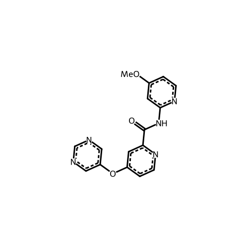 COc1ccnc(NC(=O)c2cc(Oc3cncnc3)ccn2)c1